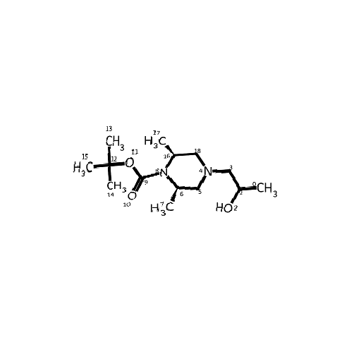 CC(O)CN1C[C@@H](C)N(C(=O)OC(C)(C)C)[C@@H](C)C1